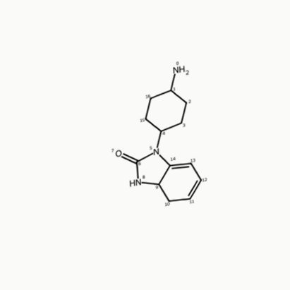 NC1CCC(N2C(=O)NC3CC=CC=C32)CC1